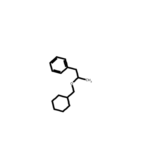 CC(Cc1ccccc1)OCC1CCCCC1